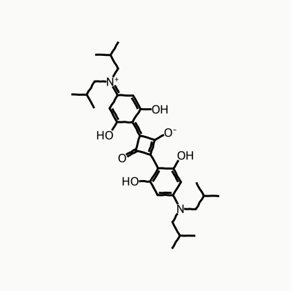 CC(C)CN(CC(C)C)c1cc(O)c(C2=C([O-])C(=C3C(O)=CC(=[N+](CC(C)C)CC(C)C)C=C3O)C2=O)c(O)c1